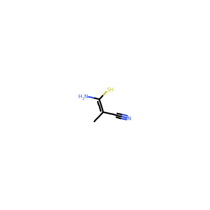 C/C(C#N)=C(\N)S